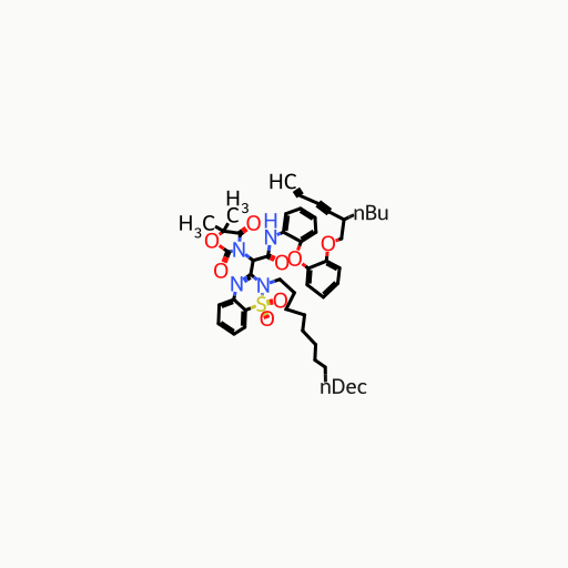 C#CC#CC(CCCC)COc1ccccc1Oc1ccccc1NC(=O)C(C1=Nc2ccccc2S(=O)(=O)N1CCCCCCCCCCCCCCCCCC)N1C(=O)OC(C)(C)C1=O